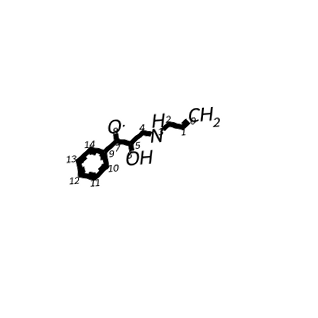 C=CCNCC(O)C([O])c1ccccc1